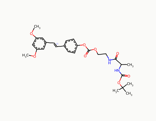 COc1cc(/C=C/c2ccc(OC(=O)OCCNC(=O)C(C)NC(=O)OC(C)(C)C)cc2)cc(OC)c1